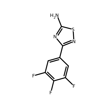 Nc1nc(-c2cc(F)c(F)c(F)c2)ns1